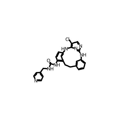 O=C(NCc1ccncc1)Nc1ccc2cc1CCc1cccc(c1)Nc1ncc(Cl)c(n1)N2